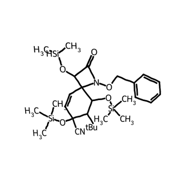 C[SiH](C)OC1C(=O)N(OCc2ccccc2)C12C=CC(C#N)(O[Si](C)(C)C)C(C(C)(C)C)C2O[Si](C)(C)C